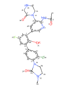 CC(=O)Nc1ncc(-c2cc(F)cc(-c3ccc(N4CCN(C)C4=O)c(Cl)c3)c2O)cc1N1CCNCC1=O